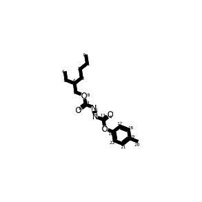 CCCCC(CC)COC(=O)/N=N/C(=O)Oc1ccc(C)cc1